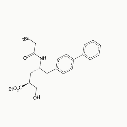 CCOC(=O)[C@H](CO)C[C@@H](Cc1ccc(-c2ccccc2)cc1)NC(=O)CC(C)(C)C